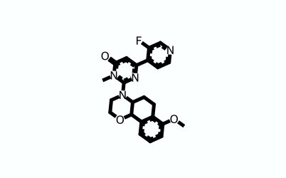 COc1cccc2c1CCC1C2OCCN1c1nc(-c2ccncc2F)cc(=O)n1C